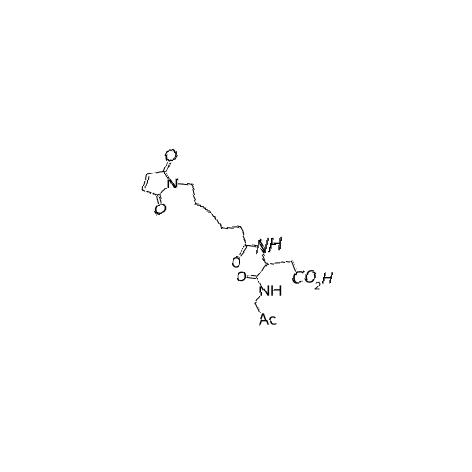 CC(=O)CNC(=O)C(CC(=O)O)NC(=O)CCCCCN1C(=O)C=CC1=O